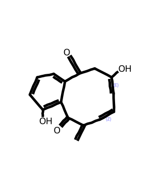 C=C1/C=C\C=C(\O)CC(=O)c2cccc(O)c2C1=O